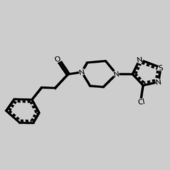 O=C([CH]Cc1ccccc1)N1CCN(c2nsnc2Cl)CC1